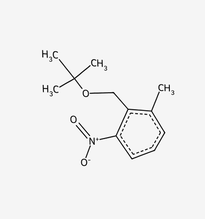 Cc1cccc([N+](=O)[O-])c1COC(C)(C)C